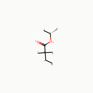 [CH2][C@@H](C)OC(=O)C(C)(C)CC